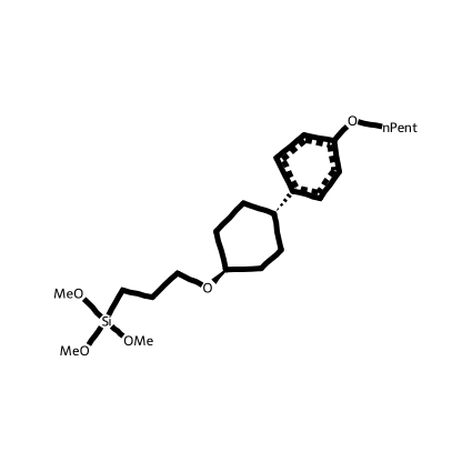 CCCCCOc1ccc([C@H]2CC[C@H](OCCC[Si](OC)(OC)OC)CC2)cc1